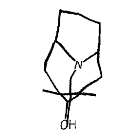 CC(C)(C)N1C2CCC1CC(O)C2